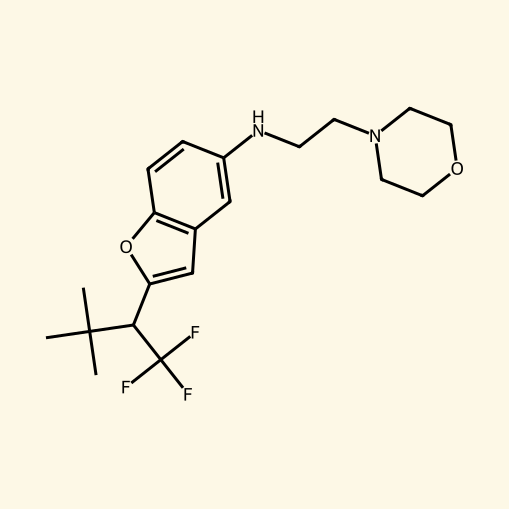 CC(C)(C)C(c1cc2cc(NCCN3CCOCC3)ccc2o1)C(F)(F)F